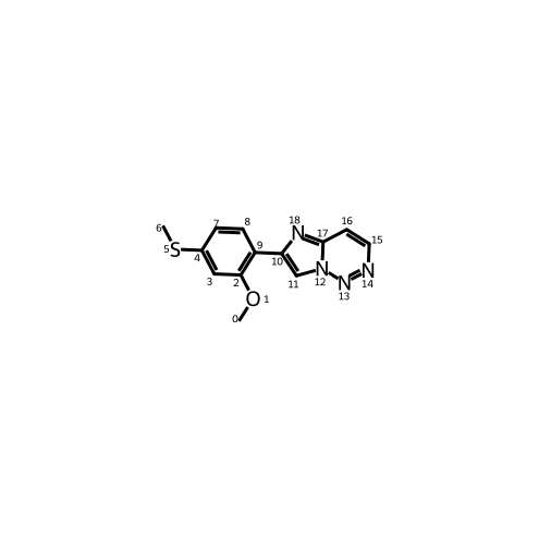 COc1cc(SC)ccc1-c1cn2nnccc2n1